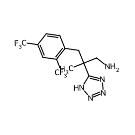 CC(CN)(Cc1ccc(C(F)(F)F)cc1C(F)(F)F)c1nnn[nH]1